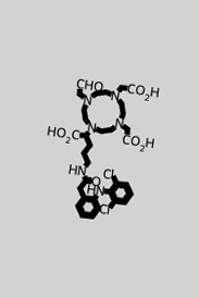 O=CCN1CCN(CC(=O)O)CCN(CC(=O)O)CCN(C(CCCNC(=O)Cc2ccccc2Nc2c(Cl)cccc2Cl)C(=O)O)CC1